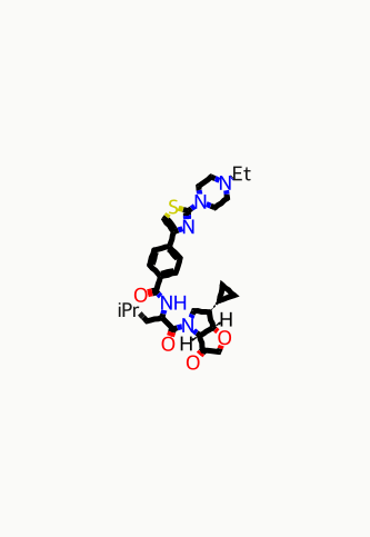 CCN1CCN(c2nc(-c3ccc(C(=O)NC(CC(C)C)C(=O)N4C[C@H](C5CC5)[C@H]5OCC(=O)[C@H]54)cc3)cs2)CC1